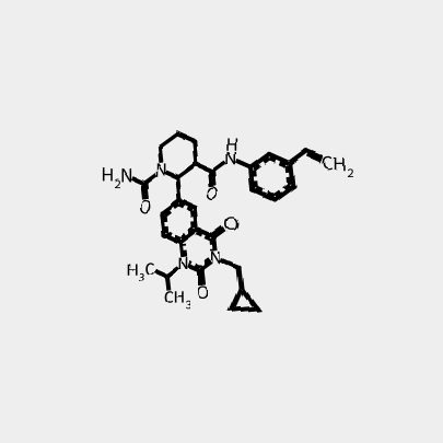 C=Cc1cccc(NC(=O)C2CCCN(C(N)=O)C2c2ccc3c(c2)c(=O)n(CC2CC2)c(=O)n3C(C)C)c1